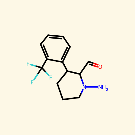 NN1CCCC(c2ccccc2C(F)(F)F)C1C=O